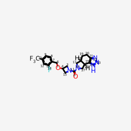 O=C(N1CC(OCc2ccc(C(F)(F)F)cc2F)C1)N1C[C@@H]2CCc3nn[nH]c3[C@@H]2C1